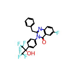 O=c1c2cc(F)ccc2nc(Cc2ccccc2)n1-c1ccc(C(O)(C(F)(F)F)C(F)(F)F)cc1